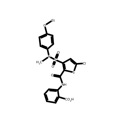 CCOc1ccc(N(C)S(=O)(=O)c2cc(Cl)sc2C(=O)Nc2ccccc2C(=O)O)cc1